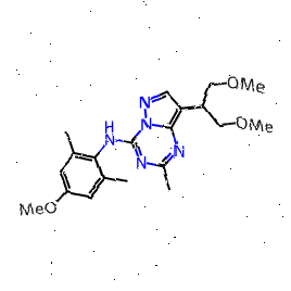 COCC(COC)c1cnn2c(Nc3c(C)cc(OC)cc3C)nc(C)nc12